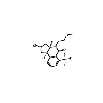 COCCN1C(=O)c2c(cccc2C(F)(F)F)[C@H]2CN(Cl)C[C@@H]21